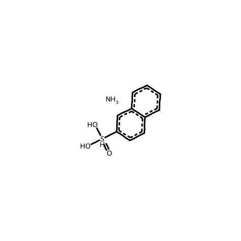 N.O=[SH](O)(O)c1ccc2ccccc2c1